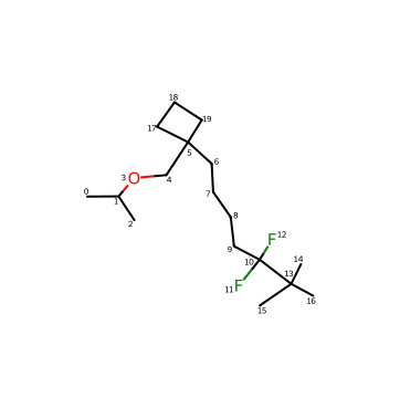 CC(C)OCC1(CCCCC(F)(F)C(C)(C)C)CCC1